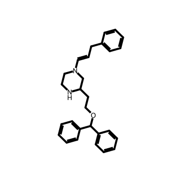 C(=CN1CCNC(CCOC(c2ccccc2)c2ccccc2)C1)Cc1ccccc1